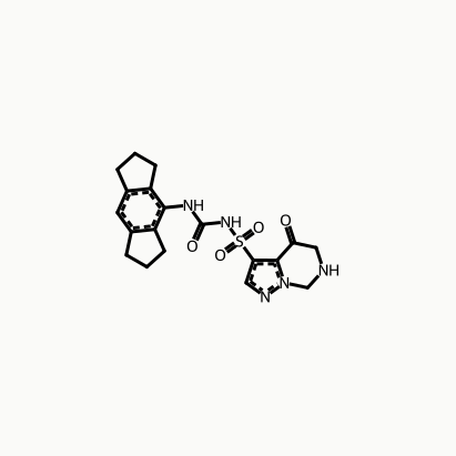 O=C(Nc1c2c(cc3c1CCC3)CCC2)NS(=O)(=O)c1cnn2c1C(=O)CNC2